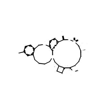 CO[C@]1(C)CCC[C@H](C)[C@@H](C)S(=O)(=O)NC(=O)c2ccc3c(c2)N(CCCCc2cc(Cl)ccc2CO3)C[C@@H]2CC[C@H]21